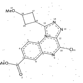 COC(=O)c1ccc2c(c1)nc(Cl)c1nnc(C3CC(OC)C3)n12